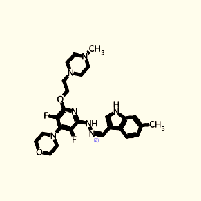 Cc1ccc2c(/C=N\Nc3nc(OCCN4CCN(C)CC4)c(F)c(N4CCOCC4)c3F)c[nH]c2c1